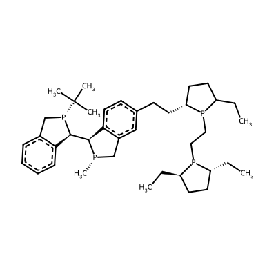 CCC1CC[C@@H](CCc2ccc3c(c2)C[P@](C)[C@H]3[C@H]2c3ccccc3C[P@]2C(C)(C)C)P1CCP1[C@H](CC)CC[C@H]1CC